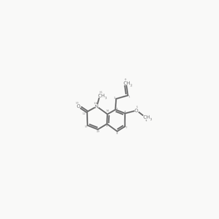 C=CCc1c(OC)ccc2ccc(=O)n(C)c12